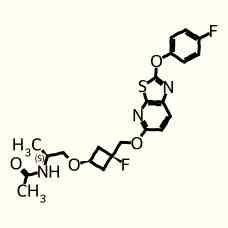 CC(=O)N[C@@H](C)CO[C@H]1C[C@](F)(COc2ccc3nc(Oc4ccc(F)cc4)sc3n2)C1